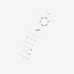 Cc1cc(/C=C/C(F)(F)C(F)(F)C(F)(F)C(F)(F)C(F)(F)C(F)(F)F)cc(C)c1N